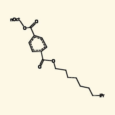 CCCCCCCCOC(=O)c1ccc(C(=O)OCCCCCCCC(C)C)cc1